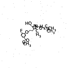 COC(=O)c1ccc(F)c(OCCCc2c(CO)nn(COCC[Si](C)(C)C)c2C)c1